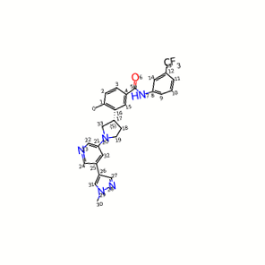 Cc1ccc(C(=O)Nc2cccc(C(F)(F)F)c2)cc1[C@@H]1CCN(c2cncc(-c3cnn(C)c3)c2)C1